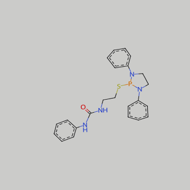 O=C(NCCSP1N(c2ccccc2)CCN1c1ccccc1)Nc1ccccc1